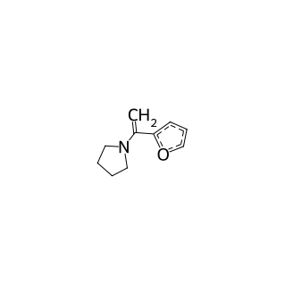 C=C(c1ccco1)N1CCCC1